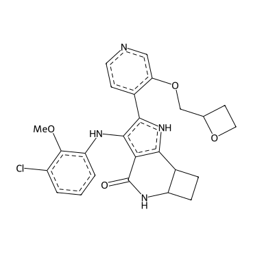 COc1c(Cl)cccc1Nc1c(-c2ccncc2OCC2CCO2)[nH]c2c1C(=O)NC1CCC21